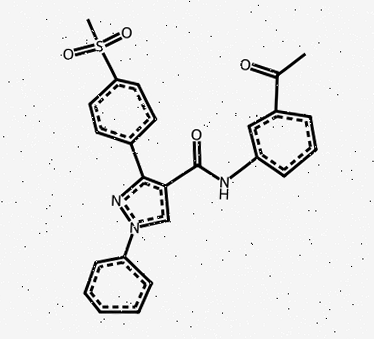 CC(=O)c1cccc(NC(=O)c2cn(-c3ccccc3)nc2-c2ccc(S(C)(=O)=O)cc2)c1